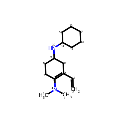 C=CC1=C(N(C)C)CCC(NC2CCCCC2)C1